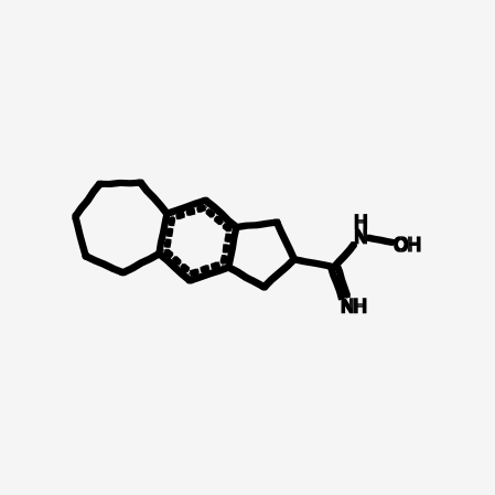 N=C(NO)C1Cc2cc3c(cc2C1)CCCCC3